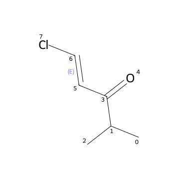 CC(C)C(=O)/C=C/Cl